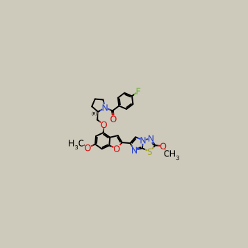 COc1cc(OC[C@H]2CCCN2C(=O)c2ccc(F)cc2)c2cc(-c3cn4nc(OC)sc4n3)oc2c1